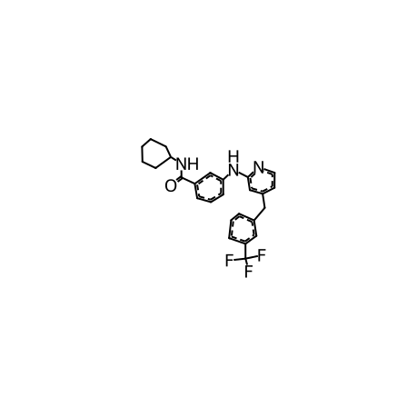 O=C(NC1CCCCC1)c1cccc(Nc2cc(Cc3cccc(C(F)(F)F)c3)ccn2)c1